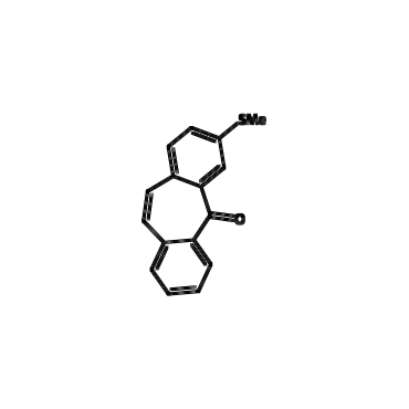 CSc1ccc2ccc3ccccc3c(=O)c2c1